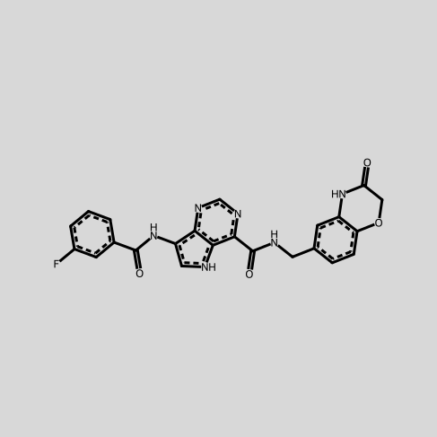 O=C1COc2ccc(CNC(=O)c3ncnc4c(NC(=O)c5cccc(F)c5)c[nH]c34)cc2N1